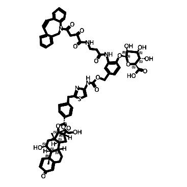 C[C@]12C=CC(=O)C=C1CC[C@@H]1[C@@H]2[C@@H](O)C[C@@]2(C)[C@H]1C[C@H]1O[C@@H](c3ccc(Cc4nc(NC(=O)OCc5ccc(O[C@@H]6O[C@H](C(=O)O)[C@@H](O)[C@H](O)[C@H]6O)c(NC(=O)CCNC(=O)C(=O)CC(=O)N6Cc7ccccc7C#Cc7ccccc76)c5)cs4)cc3)O[C@]12C(=O)CO